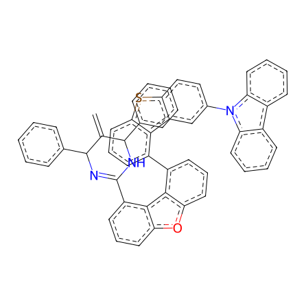 C=C1C(c2ccccc2)N=C(c2cccc3oc4cccc(-c5cccc6sc7ccc(-n8c9ccccc9c9ccccc98)cc7c56)c4c23)NC1c1ccccc1